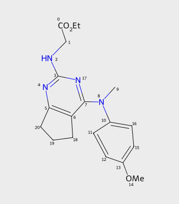 CCOC(=O)CNc1nc2c(c(N(C)c3ccc(OC)cc3)n1)CCC2